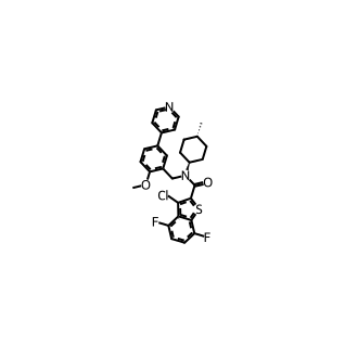 COc1ccc(-c2ccncc2)cc1CN(C(=O)c1sc2c(F)ccc(F)c2c1Cl)[C@H]1CC[C@H](C)CC1